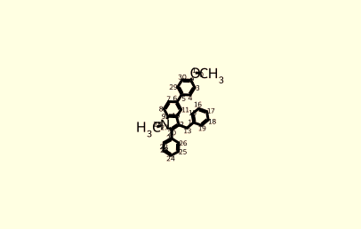 COc1ccc(-c2ccc3c(c2)c(Cc2ccccc2)c(-c2ccccc2)n3C)cc1